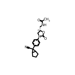 CC(=O)NC[C@H]1CN(c2ccc(C3(C#N)C4CCCC43)cc2)C(=O)O1